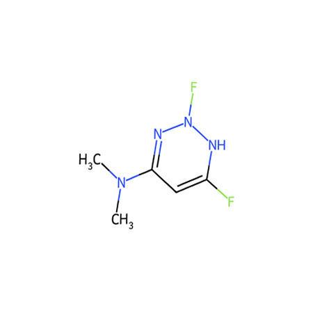 CN(C)C1=NN(F)NC(F)=C1